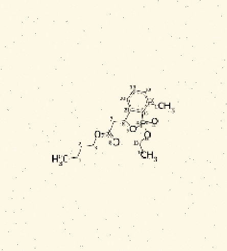 CCCCOC(=O)CC1OP(=O)(OCC)c2c(C)cccc21